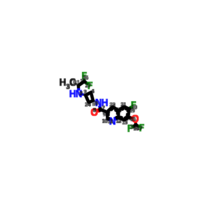 C[C@@H](N[C@H]1C[C@H](NC(=O)c2cnc3cc(OC(F)F)c(F)cc3c2)C1)C(F)F